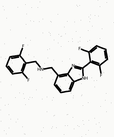 Fc1cccc(F)c1CNCc1cccc2[nH]c(-c3c(F)cccc3F)nc12